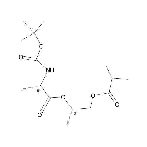 CC(C)C(=O)OC[C@H](C)OC(=O)[C@H](C)NC(=O)OC(C)(C)C